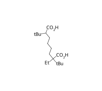 CCC(CCCCC(C(=O)O)C(C)(C)C)(C(=O)O)C(C)(C)C